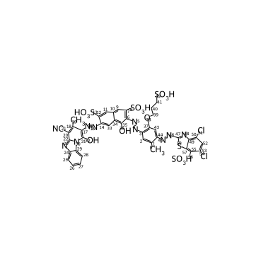 Cc1cc(N=Nc2c(S(=O)(=O)O)cc3cc(S(=O)(=O)O)c(N=Nc4c(C)c(C#N)c5nc6ccccc6n5c4O)cc3c2O)c(OCCCS(=O)(=O)O)cc1N=Nc1nc2c(Cl)cc(Cl)c(S(=O)(=O)O)c2s1